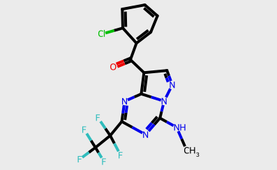 CNc1nc(C(F)(F)C(F)(F)F)nc2c(C(=O)c3ccccc3Cl)cnn12